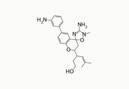 CC(C)=CC(CCO)C1CC2(N=C(N)N(C)O2)c2cc(-c3cccc(N)c3)ccc2O1